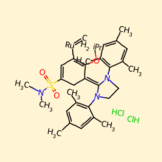 Cl.Cl.[CH2]=[Ru][C]1=C(OC(C)C)C(=C2N(c3c(C)cc(C)cc3C)CCN2c2c(C)cc(C)cc2C)CC(S(=O)(=O)N(C)C)=C1